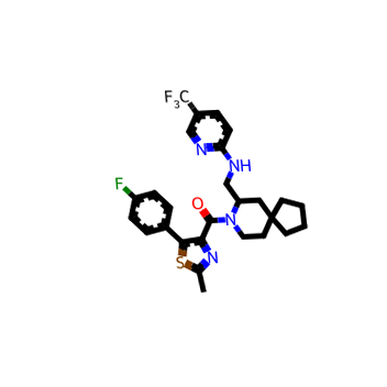 Cc1nc(C(=O)N2CCC3(CCCC3)CC2CNc2ccc(C(F)(F)F)cn2)c(-c2ccc(F)cc2)s1